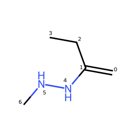 C=C(CC)NNC